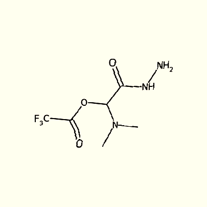 CN(C)C(OC(=O)C(F)(F)F)C(=O)NN